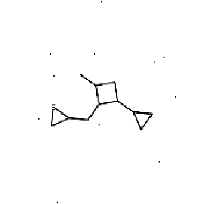 CC1CC(C2CC2)C1CC1CS1